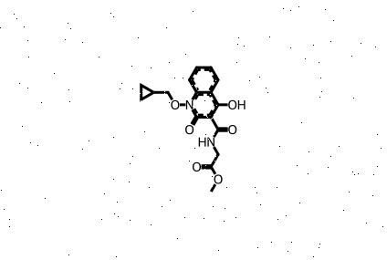 COC(=O)CNC(=O)c1c(O)c2ccccc2n(OCC2CC2)c1=O